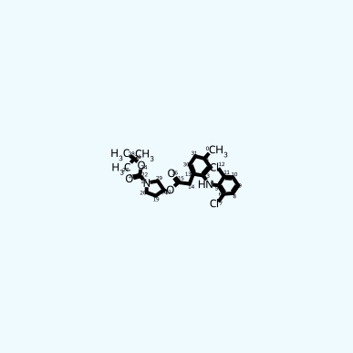 CC1C=C(Nc2c(Cl)cccc2Cl)C(CC(=O)O[C@@H]2CCN(C(=O)OC(C)(C)C)C2)=CC1